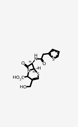 O=C(Cc1cccs1)N[C@@H]1C(=O)N2C(C(=O)O)C(CO)=CS[C@H]12